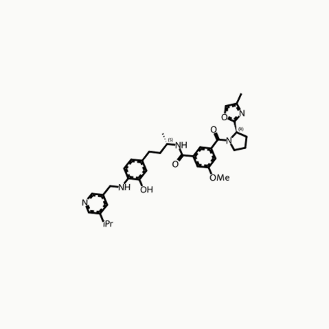 COc1cc(C(=O)N[C@@H](C)CCc2ccc(NCc3cncc(C(C)C)c3)c(O)c2)cc(C(=O)N2CCC[C@@H]2c2nc(C)co2)c1